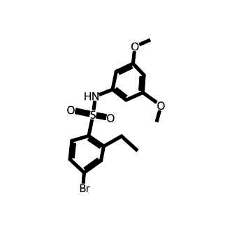 CCc1cc(Br)ccc1S(=O)(=O)Nc1cc(OC)cc(OC)c1